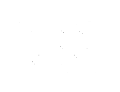 Cc1ccc(C(=O)N2CCCCC2CCC(=O)c2nc3c(c(=O)n2Cc2ccccc2)NC(C)(C)C=N3)cc1